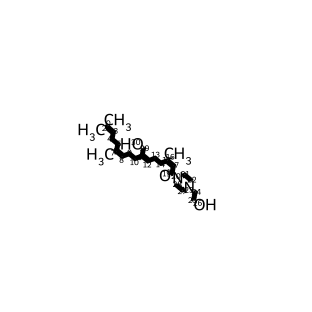 CC(C)=CCCC(C)=CCCC(=CCCC(C)=CC(=O)N1CCN(CCO)CC1)CO